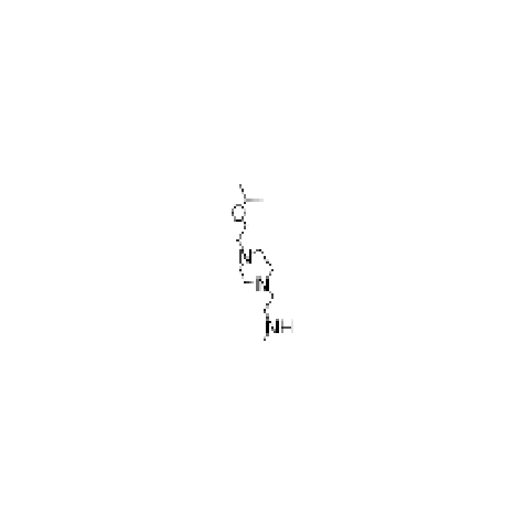 CNCCN1CCN(CCOC(C)C)CC1